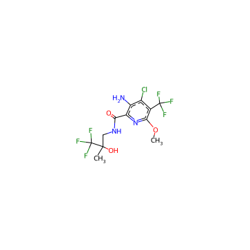 COc1nc(C(=O)NCC(C)(O)C(F)(F)F)c(N)c(Cl)c1C(F)(F)F